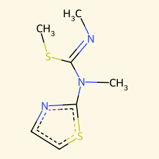 CN=C(SC)N(C)c1nccs1